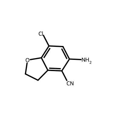 N#Cc1c(N)cc(Cl)c2c1CCO2